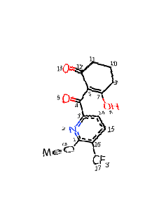 COc1nc(C(=O)C2=C(O)CCCC2=O)ccc1C(F)(F)F